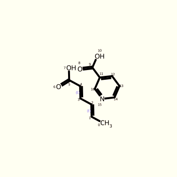 C/C=C/C=C/C(=O)O.O=C(O)c1cccnc1